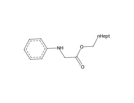 CCCCCCCCOC(=O)CNc1ccccc1